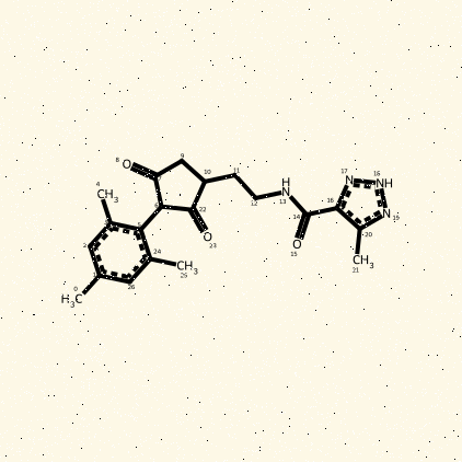 Cc1cc(C)c(C2C(=O)CC(CCNC(=O)c3n[nH]nc3C)C2=O)c(C)c1